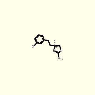 C[C@]1(CCc2cccc(Cl)c2)COC(N)=N1